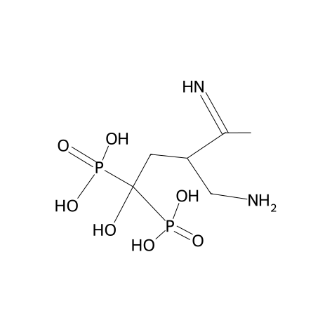 CC(=N)C(CN)CC(O)(P(=O)(O)O)P(=O)(O)O